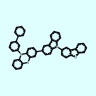 c1ccc(-c2cccc(N3c4ccccc4Sc4cc(-c5ccc6c(c5)c5ccccc5n6-c5ccc6oc7ccccc7c6c5)ccc43)c2)cc1